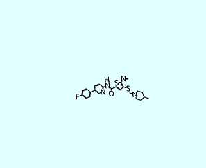 C=Nc1sc(C(=O)Nc2ccc(-c3ccc(F)cc3)cn2)cc1SCN1CCC(C)CC1